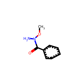 CON(N)C(=O)c1ccccc1